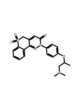 CC(CN(C)C)Oc1ccc(-n2nc3c(cc2=O)CS(=O)(=O)c2ccccc2-3)cc1